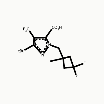 CC1(Cn2nc(C(C)(C)C)c(C(F)(F)F)c2C(=O)O)CC(F)(F)C1